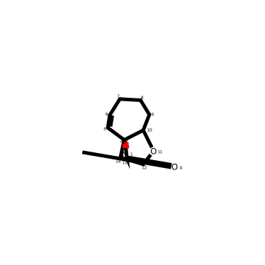 O=C1C=CC23C=CCCCC2OCC3=N1